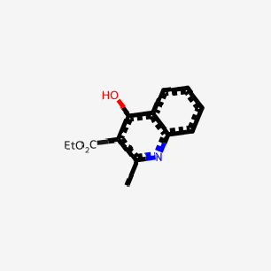 CCOC(=O)c1c(C)nc2ccccc2c1O